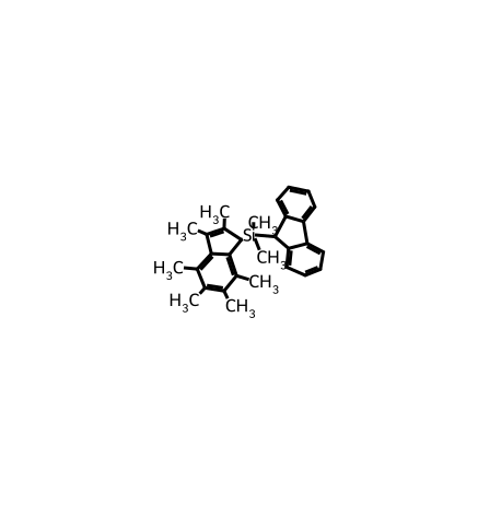 CC1=C(C)C([Si](C)(C)C2c3ccccc3-c3ccccc32)c2c(C)c(C)c(C)c(C)c21